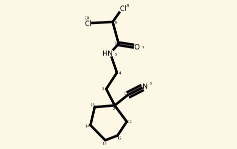 N#CC1(CCNC(=O)C(Cl)Cl)CCCCC1